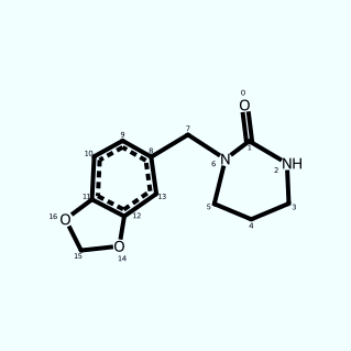 O=C1NCCCN1Cc1ccc2c(c1)OCO2